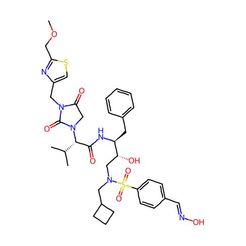 COCc1nc(CN2C(=O)CN([C@H](C(=O)N[C@@H](Cc3ccccc3)[C@H](O)CN(CC3CCC3)S(=O)(=O)c3ccc(C=NO)cc3)C(C)C)C2=O)cs1